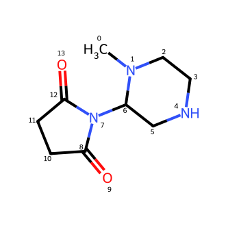 CN1CCNCC1N1C(=O)CCC1=O